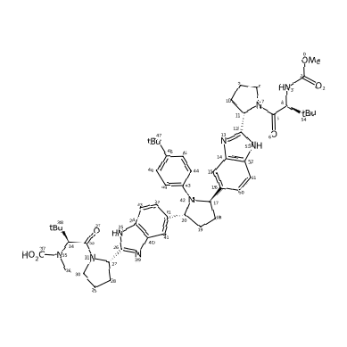 COC(=O)N[C@H](C(=O)N1CCC[C@H]1c1nc2cc([C@H]3CC[C@H](c4ccc5[nH]c([C@@H]6CCCN6C(=O)[C@@H](N(C)C(=O)O)C(C)(C)C)nc5c4)N3c3ccc(C(C)(C)C)cc3)ccc2[nH]1)C(C)(C)C